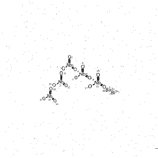 [Ba+2].[Bi+3].[O]=[Nb](=[O])[O-].[O]=[Nb](=[O])[O-].[O]=[Nb](=[O])[O-].[O]=[Nb](=[O])[O-].[O]=[Nb](=[O])[O-]